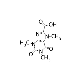 Cn1c(=O)c2c(nc(C(=O)O)n2C)n(C)c1=O